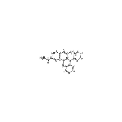 BNc1ccc2nc(C)n(C(c3ccccc3)c3ccccc3)c(=O)c2c1